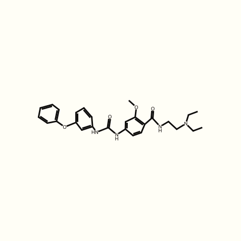 CCN(CC)CCNC(=O)c1ccc(NC(=O)Nc2cccc(Oc3ccccc3)c2)cc1OC